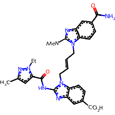 CCn1nc(C)cc1C(=O)Nc1nc2cc(C(=O)O)ccc2n1C/C=C/Cn1c(NC)nc2cc(C(N)=O)ccc21